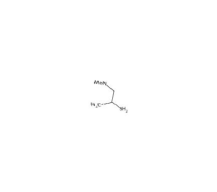 BC(C)CNC